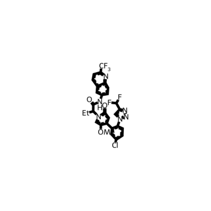 CCC(C(=O)Nc1ccc2nc(C(F)(F)F)ccc2c1)n1cc(OC)c(-c2cc(Cl)ccc2-n2cc(C(F)F)nn2)cc1=O